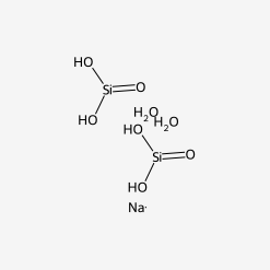 O.O.O=[Si](O)O.O=[Si](O)O.[Na]